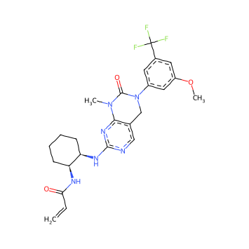 C=CC(=O)N[C@H]1CCCC[C@H]1Nc1ncc2c(n1)N(C)C(=O)N(c1cc(OC)cc(C(F)(F)F)c1)C2